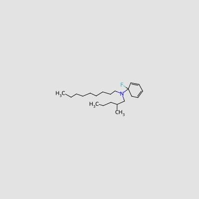 CCCCCCCCCN(CC(C)CCC)C1(F)C=CC=CC1